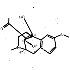 COc1ccc2c(c1)[C@]13CCN(C)[C@H](C2)[C@]1(O)CC(C(C)=O)=C(O)C3